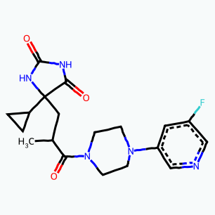 CC(CC1(C2CC2)NC(=O)NC1=O)C(=O)N1CCN(c2cncc(F)c2)CC1